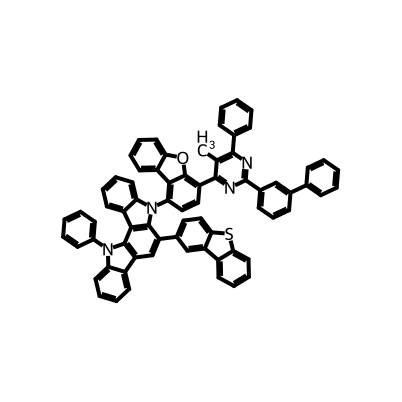 Cc1c(-c2ccccc2)nc(-c2cccc(-c3ccccc3)c2)nc1-c1ccc(-n2c3ccccc3c3c2c(-c2ccc4sc5ccccc5c4c2)cc2c4ccccc4n(-c4ccccc4)c23)c2c1oc1ccccc12